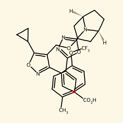 Cc1ccc(-c2nnc(N3[C@@H]4CC[C@H]3CC(OCc3c(-c5ccccc5OC(F)(F)F)noc3C3CC3)C4)o2)cc1C(=O)O